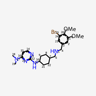 COc1cc(CNCC2CCC(Nc3nccc(N(C)C)n3)CC2)cc(Br)c1OC